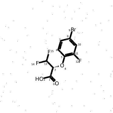 O=C(O)[C@@H](Oc1ccc(Br)cc1F)C(F)F